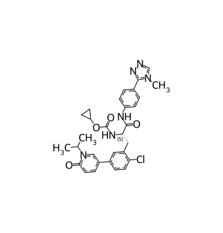 CC(C)n1cc(-c2ccc(Cl)c(C[C@H](NC(=O)OC3CC3)C(=O)Nc3ccc(-c4nncn4C)cc3)c2)ccc1=O